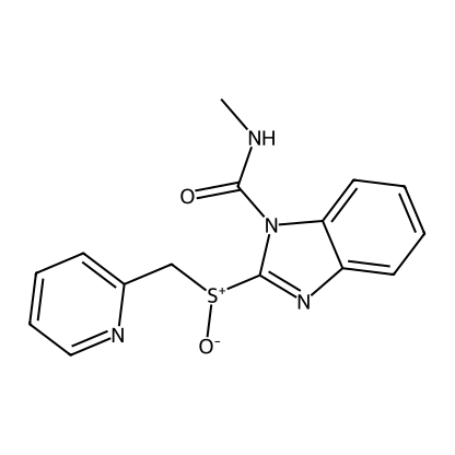 CNC(=O)n1c([S+]([O-])Cc2ccccn2)nc2ccccc21